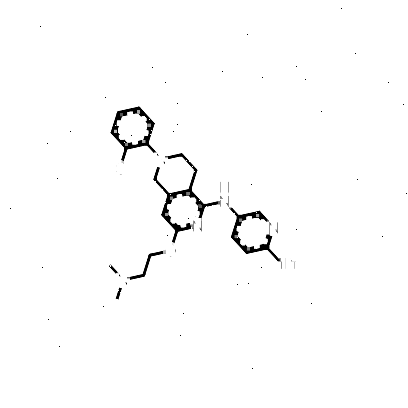 CC(C)c1ccc(Nc2nc(OCCN(C)C)cc3c2CCN(c2ccccc2Cl)C3)cn1